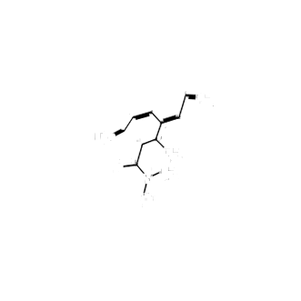 C=C/C=C\C(=C/C=C)C(C)CC(C)N(C)CCC